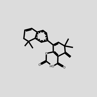 C=C1C(C(=O)O)=C(OC(C)=O)C(c2ccc3c(c2)C(C)(C)CC=C3)=CC1(C)C